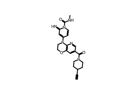 C#CC1CCN(C(=O)c2cnc3c(c2)OCCN3c2ccn(C(=O)NC)c(=N)c2)CC1